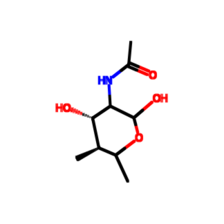 CC(=O)NC1C(O)OC(C)[C@@H](C)[C@@H]1O